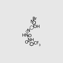 O=C(CNC(=O)c1cccc(C(F)(F)F)c1)N[C@@H]1CCN(C2CCC(O)(c3ccc(Br)nc3)CC2)C1